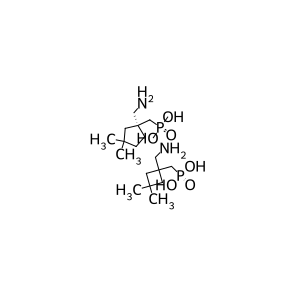 CC1(C)CC(CN)(CP(=O)(O)O)C1.CC1(C)CC[C@](CN)(CP(=O)(O)O)C1